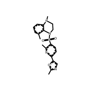 Cc1ncc(-c2ccc(S(=O)(=O)N3CCN(C)c4cccc(C)c43)c(C)n2)o1